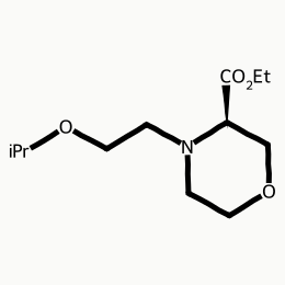 CCOC(=O)[C@H]1COCCN1CCOC(C)C